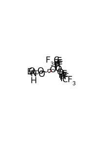 CCC(C)(C)C(=O)N[C@H]1CC[C@H](OC(=O)/C=C/c2ccc(OCCCC(C)(OCC(F)(F)C(F)(F)C(F)(F)C(F)(F)F)OCC(F)(F)C(F)(F)C(F)(F)C(F)(F)F)cc2)CC1